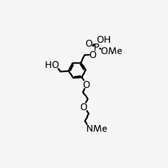 CNCCOCCOc1cc(CO)cc(COP(=O)(O)OC)c1